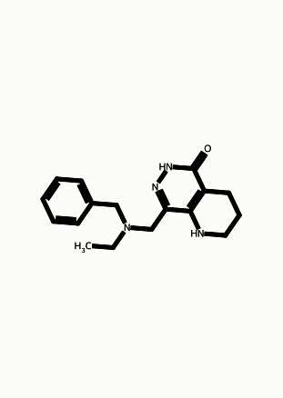 CCN(Cc1ccccc1)Cc1n[nH]c(=O)c2c1NCCC2